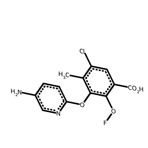 Cc1c(Cl)cc(C(=O)O)c(OF)c1Oc1ccc(N)cn1